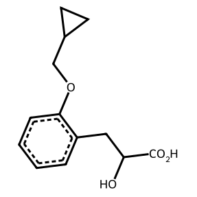 O=C(O)C(O)Cc1ccccc1OCC1CC1